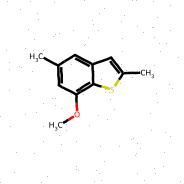 COc1cc(C)cc2cc(C)sc12